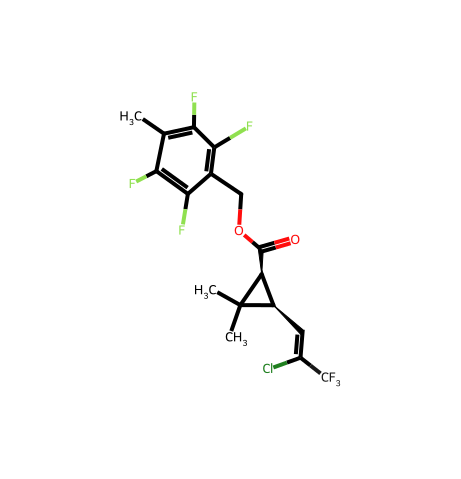 Cc1c(F)c(F)c(COC(=O)[C@H]2[C@@H](/C=C(\Cl)C(F)(F)F)C2(C)C)c(F)c1F